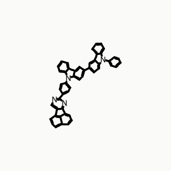 c1ccc(-n2c3ccccc3c3cc(-c4ccc5c(c4)c4ccccc4n5-c4ccc(-c5ncc6c(n5)-c5cccc7cccc-6c57)cc4)ccc32)cc1